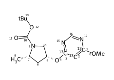 CO[13c]1[13cH][13c](O[C@@H]2C[C@H](C)N(C(=O)OC(C)(C)C)C2)ncn1